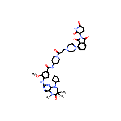 COc1cc(C(=O)NC2CCN(C(=O)CCN3CCN(c4cccc5c4C(=O)N(C4CCC(=O)NC4=O)C5=O)CC3)CC2)ccc1Nc1ncc2c(n1)N(C1CCCC1)CC(C)(C)C(=O)N2C